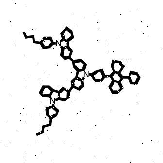 CCCCc1ccc(-n2c3ccccc3c3cc(-c4ccc5c(c4)c4cc(-c6ccc7c(c6)c6ccccc6n7-c6ccc(CCCC)cc6)ccc4n5-c4ccc(-c5c6ccccc6c(-c6ccccc6)c6ccccc56)cc4)ccc32)cc1